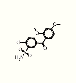 COc1ccc(C(=O)c2ccc(Cl)c(S(N)(=O)=O)c2)c(OC)c1